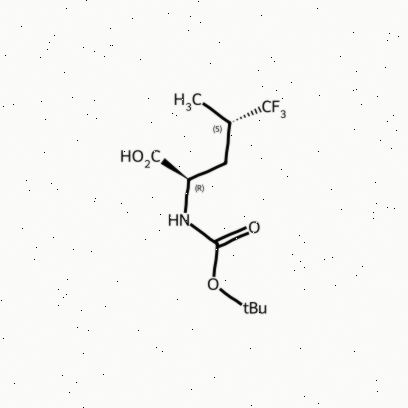 C[C@@H](C[C@@H](NC(=O)OC(C)(C)C)C(=O)O)C(F)(F)F